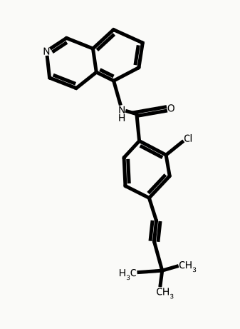 CC(C)(C)C#Cc1ccc(C(=O)Nc2cccc3cnccc23)c(Cl)c1